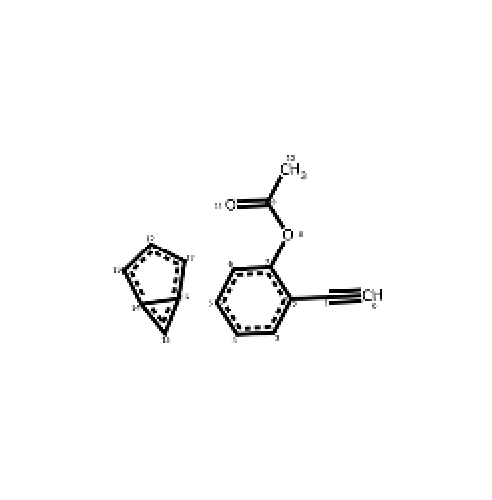 C#Cc1ccccc1OC(C)=O.c1cc2cc-2c1